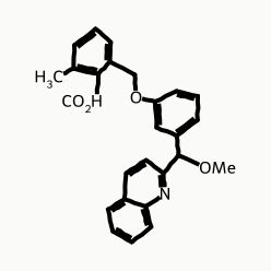 COC(c1cccc(OCc2cccc(C)c2C(=O)O)c1)c1ccc2ccccc2n1